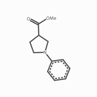 COC(=O)C1CCN(c2ccccc2)C1